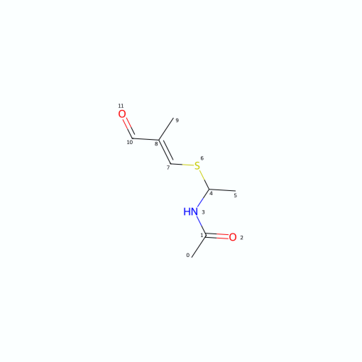 CC(=O)NC(C)S/C=C(\C)C=O